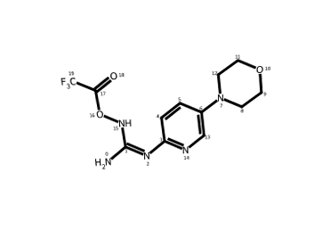 NC(=Nc1ccc(N2CCOCC2)cn1)NOC(=O)C(F)(F)F